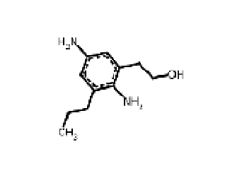 CCCc1cc(N)cc(CCO)c1N